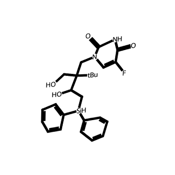 CC(C)(C)C(CO)(Cn1cc(F)c(=O)[nH]c1=O)C(O)C[SiH](c1ccccc1)c1ccccc1